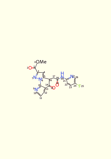 COC(=O)c1cc2n(n1)-c1ncccc1C(=O)C2CC(=O)Nc1ccc(F)cn1